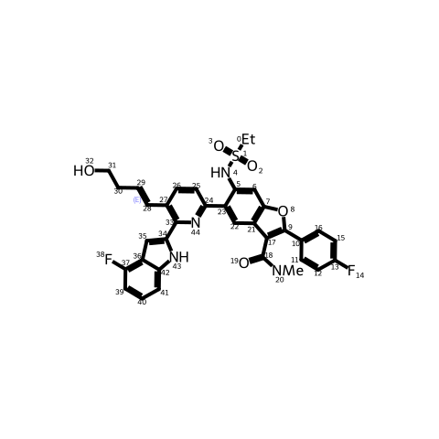 CCS(=O)(=O)Nc1cc2oc(-c3ccc(F)cc3)c(C(=O)NC)c2cc1-c1ccc(/C=C/CCO)c(-c2cc3c(F)cccc3[nH]2)n1